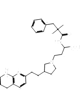 CC(C)(Cc1ccccc1)C(=O)NC(CCN1CCC(CCc2ccc3c(n2)NCCC3)C1)C(=O)O